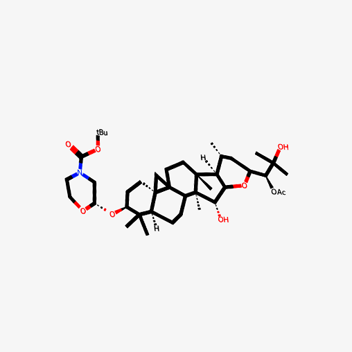 CC(=O)O[C@@H](C1C[C@@H](C)[C@H]2C(O1)[C@H](O)[C@@]1(C)C3CC[C@H]4C(C)(C)[C@@H](O[C@H]5CN(C(=O)OC(C)(C)C)CCO5)CC[C@@]45CC35CC[C@]21C)C(C)(C)O